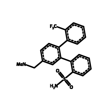 CNCc1ccc(-c2ccccc2C(F)(F)F)c(-c2ccccc2S(N)(=O)=O)c1